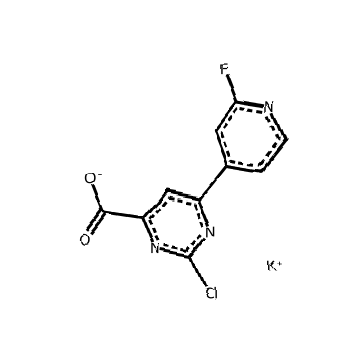 O=C([O-])c1cc(-c2ccnc(F)c2)nc(Cl)n1.[K+]